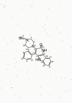 CC(C)(C)N1CCN(c2c(-c3ccccc3)c3[nH]c4ccccc4c3[nH]c2=O)CC1